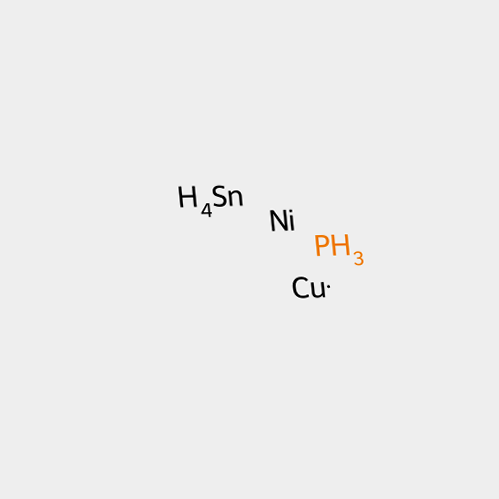 P.[Cu].[Ni].[SnH4]